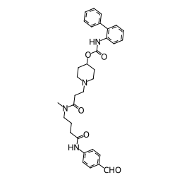 CN(CCCC(=O)Nc1ccc(C=O)cc1)C(=O)CCN1CCC(OC(=O)Nc2ccccc2-c2ccccc2)CC1